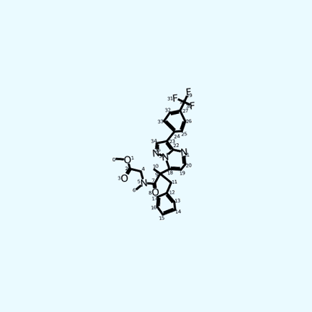 COC(=O)CN(C)C(=O)C(C)(Cc1ccccc1)c1ccnc2c(-c3ccc(C(F)(F)F)cc3)cnn12